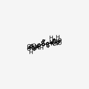 COC(=O)NC(C(=O)N1CCCC1c1ncc(-c2ccc(-c3ccc(-c4ccc5nc(C6CCCN6C(=O)C(NC(=O)OC)C(C)C)[nH]c5c4)c4c3C3CCC3C4)c3c2CCC3)[nH]1)C(C)C